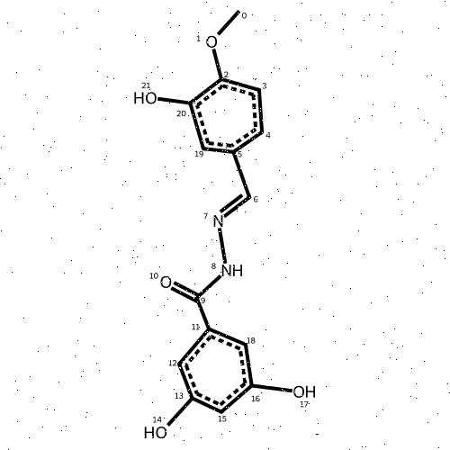 COc1ccc(C=NNC(=O)c2cc(O)cc(O)c2)cc1O